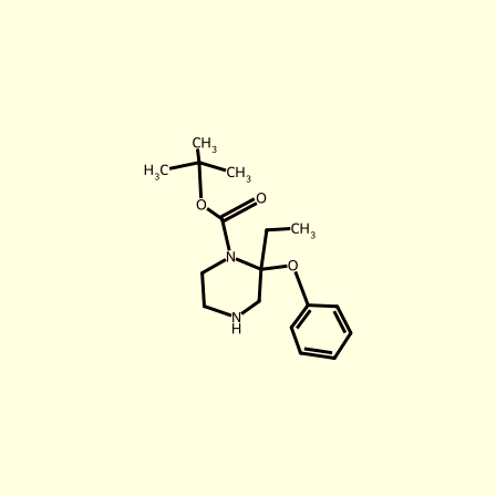 CCC1(Oc2ccccc2)CNCCN1C(=O)OC(C)(C)C